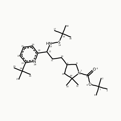 CC(C)(C)OC(=O)N1CC(CCC(NSC(C)(C)C)c2cccc(C(C)(C)C)n2)CC1(C)C